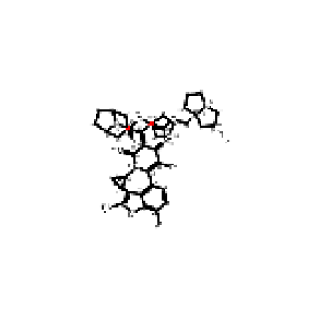 N#Cc1c(N)sc2c(F)ccc(-c3c(F)c4nc(OC[C@@]56CCCN5C[C@H](F)C6)nc(N5CC6CCC(C5)N6C(=O)OC5CCOC5)c4c(=O)n3C3CC3)c12